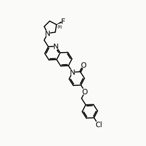 O=c1cc(OCc2ccc(Cl)cc2)ccn1-c1ccc2nc(CN3CC[C@@H](F)C3)ccc2c1